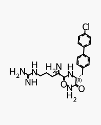 N=C(N)NCCC[C@@H](N)C(=O)N[C@H](Cc1ccc(-c2ccc(Cl)cc2)cc1)C(N)=O